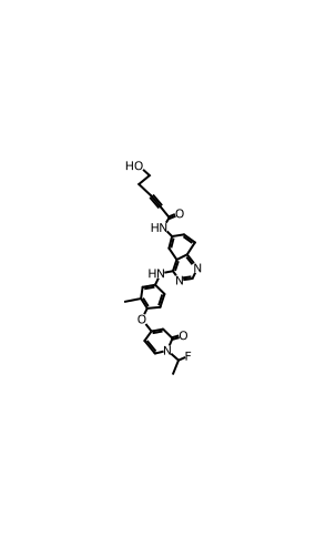 Cc1cc(Nc2ncnc3ccc(NC(=O)C#CCCO)cc23)ccc1Oc1ccn(C(C)F)c(=O)c1